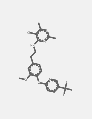 COc1cc(CCNc2nc(C)nc(C)c2Cl)ccc1Oc1ccc(C(F)(F)F)cn1